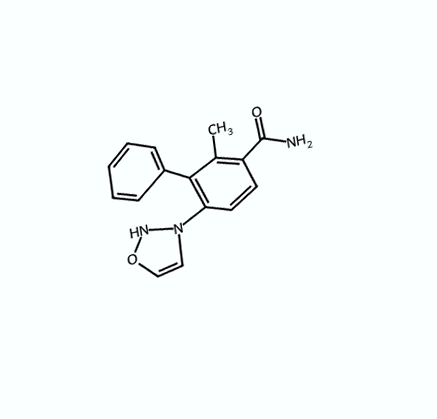 Cc1c(C(N)=O)ccc(N2C=CON2)c1-c1ccccc1